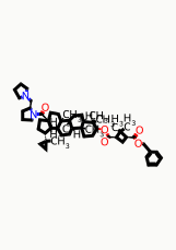 CC1([C@@H]2CC[C@]3(C(=O)N4CCC[C@H]4CN4CCCC4)CC[C@]4(C)[C@H](CC[C@@H]5[C@@]6(C)CC[C@H](OC(=O)[C@@H]7C[C@H](C(=O)OCc8ccccc8)C7(C)C)C(C)(C)[C@@H]6CC[C@]54C)[C@@H]23)CC1